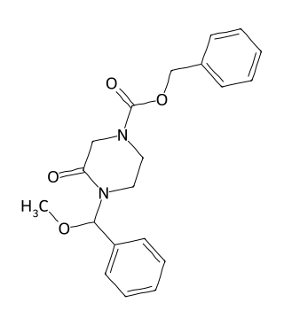 COC(c1ccccc1)N1CCN(C(=O)OCc2ccccc2)CC1=O